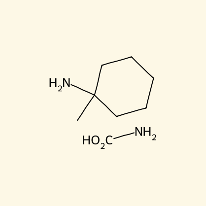 CC1(N)CCCCC1.NC(=O)O